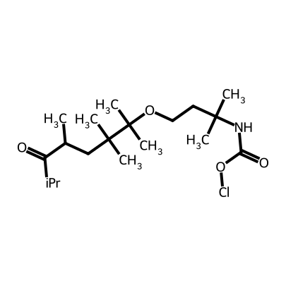 CC(C)C(=O)C(C)CC(C)(C)C(C)(C)OCCC(C)(C)NC(=O)OCl